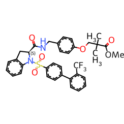 COC(=O)C(C)(C)COc1ccc(CNC(=O)[C@@H]2Cc3ccccc3N2S(=O)(=O)c2ccc(-c3ccccc3C(F)(F)F)cc2)cc1